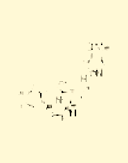 COc1ccnc(N2CCC3(CC2)O[C@@H]2CC[C@@H](c4ccccc4)N2C3=O)c1